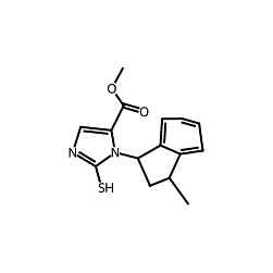 COC(=O)c1cnc(S)n1C1CC(C)c2ccccc21